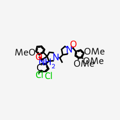 COc1cccc(C2(C(N)=O)CCN(C(C)C3CCN(C(=O)c4cc(OC)c(OC)c(OC)c4)C3)CC2c2ccc(Cl)c(Cl)c2)c1